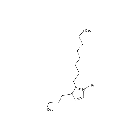 CCCCCCCCCCCCCCCCCc1n(CCCCCCCCCCCCC)cc[n+]1C(C)C